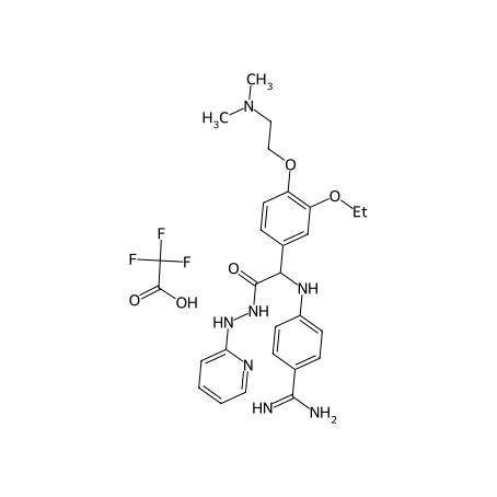 CCOc1cc(C(Nc2ccc(C(=N)N)cc2)C(=O)NNc2ccccn2)ccc1OCCN(C)C.O=C(O)C(F)(F)F